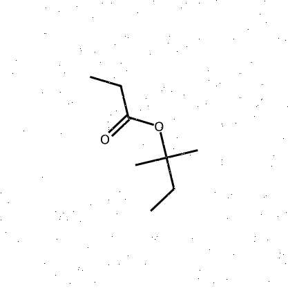 CCC(=O)OC(C)(C)CC